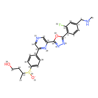 CNCc1ccc(-c2nnc(-c3cncc(-c4ccc([S+]([O-])C(C)CCO)cc4)n3)o2)c(F)c1